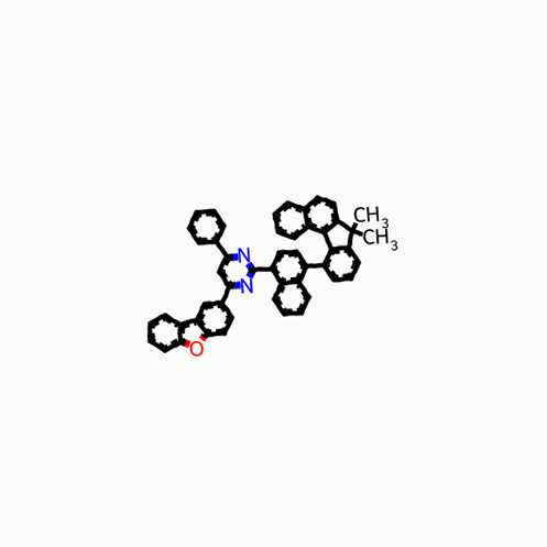 CC1(C)c2cccc(-c3ccc(-c4nc(-c5ccccc5)cc(-c5ccc6oc7ccccc7c6c5)n4)c4ccccc34)c2-c2c1ccc1ccccc21